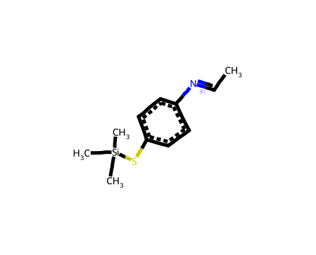 C/C=N/c1ccc(S[Si](C)(C)C)cc1